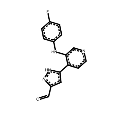 O=Cc1cc(-c2ccncc2Nc2ccc(F)cc2)[nH]n1